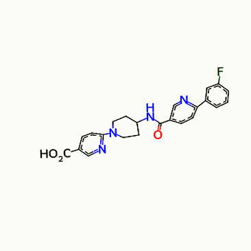 O=C(O)c1ccc(N2CCC(NC(=O)c3ccc(-c4cccc(F)c4)nc3)CC2)nc1